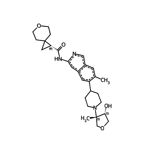 Cc1cc2cnc(NC(=O)[C@@H]3CC34CCOCC4)cc2cc1C1CCN([C@@]2(C)COC[C@H]2O)CC1